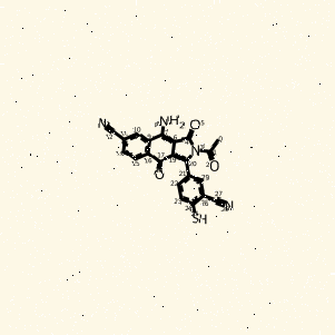 CC(=O)N1C(=O)C2=C(N)c3cc(C#N)ccc3C(=O)C2=C1c1ccc(S)c(C#N)c1